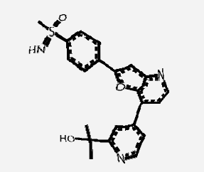 CC(C)(O)c1cc(-c2ccnc3cc(-c4ccc(S(C)(=N)=O)cc4)oc23)ccn1